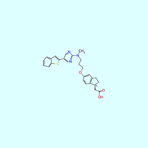 CN(CCCOc1ccc2c(c1)CC[C@H]2CC(=O)O)c1ncc(-c2cc3ccccc3s2)cn1